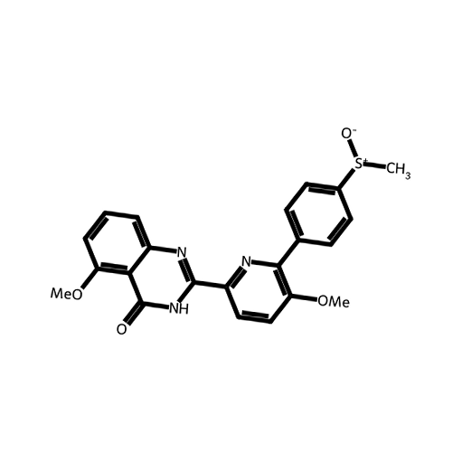 COc1ccc(-c2nc3cccc(OC)c3c(=O)[nH]2)nc1-c1ccc([S+](C)[O-])cc1